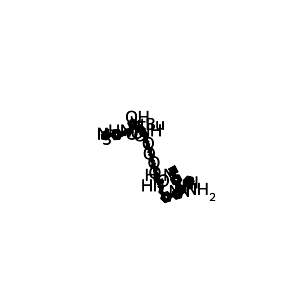 Cc1ncsc1-c1ccc(CNC(=O)[C@@H]2C[C@@H](O)CN2C(=O)[C@@H](NC(=O)CCOCCOCCOCCOCCC(=O)NCCc2cccc(-c3ccc4nc(-c5cccnc5N)n(-c5ccc(C6(N)CCC6)cc5)c4n3)c2)C(C)(C)C)cc1